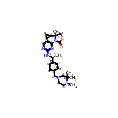 C[C@@H](Nc1nccc(N2C(=O)OC[C@@]2(C)C2CC2)n1)c1ccc(CN2CCN(C)C(C)(C)C2)cc1